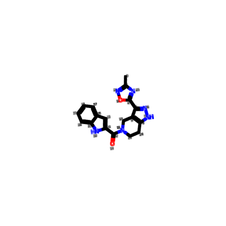 Cc1noc(-c2n[nH]c3c2CN(C(=O)c2cc4ccccc4[nH]2)CC3)n1